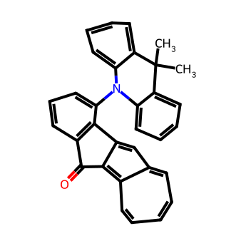 CC1(C)c2ccccc2N(c2cccc3c2-c2cc4cccccc-4c2C3=O)c2ccccc21